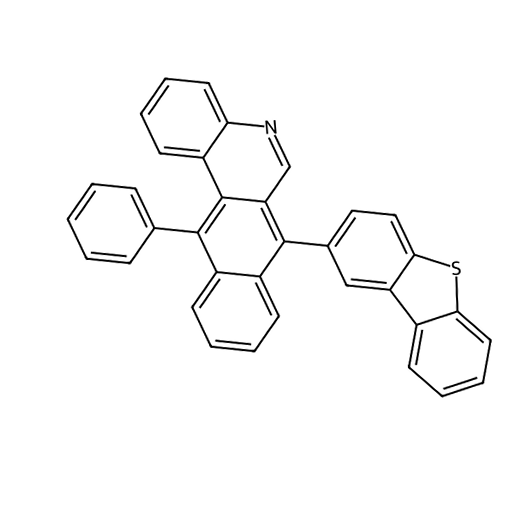 c1ccc(-c2c3ccccc3c(-c3ccc4sc5ccccc5c4c3)c3cnc4ccccc4c23)cc1